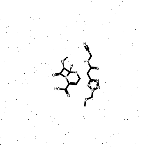 CO[C@@H]1C(=O)N2C(C(=O)O)=CCS[C@@H]12.CSCn1nnc(CC(=S)NCC#N)n1